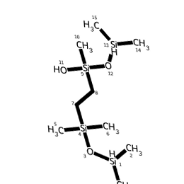 C[SiH](C)O[Si](C)(C)CC[Si](C)(O)O[SiH](C)C